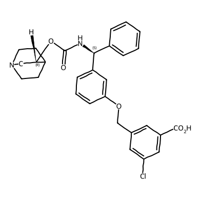 O=C(N[C@@H](c1ccccc1)c1cccc(OCc2cc(Cl)cc(C(=O)O)c2)c1)O[C@H]1CN2CCC1CC2